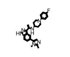 C=C(NC1CCN(c2ccc(F)cc2)CC1)c1n[nH]c2ccc(-c3cnc(C)n3C)cc12